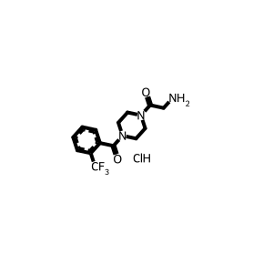 Cl.NCC(=O)N1CCN(C(=O)c2ccccc2C(F)(F)F)CC1